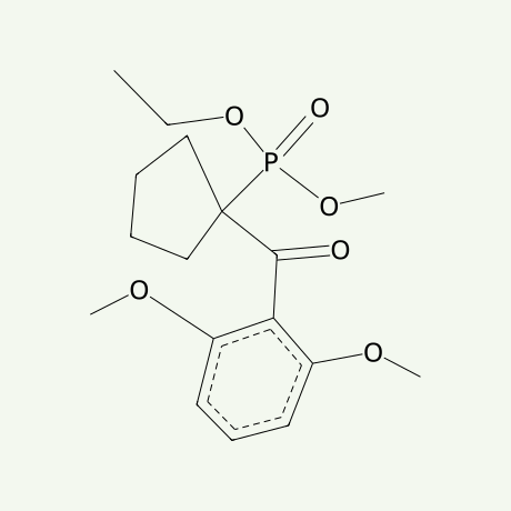 CCOP(=O)(OC)C1(C(=O)c2c(OC)cccc2OC)CCCC1